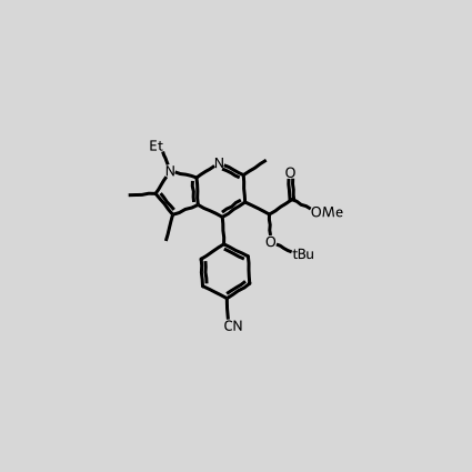 CCn1c(C)c(C)c2c(-c3ccc(C#N)cc3)c(C(OC(C)(C)C)C(=O)OC)c(C)nc21